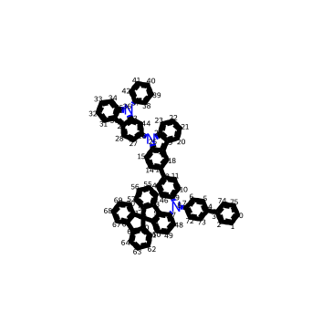 c1ccc(-c2ccc(N(c3ccc(-c4ccc5c(c4)c4ccccc4n5-c4ccc5c6ccccc6n(-c6ccccc6)c5c4)cc3)c3cccc4c3-c3ccccc3C43c4ccccc4-c4ccccc43)cc2)cc1